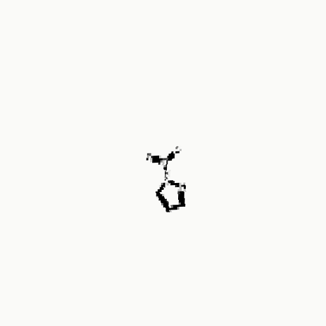 [O]=[Ti](=[O])[SH]1C=CC=N1